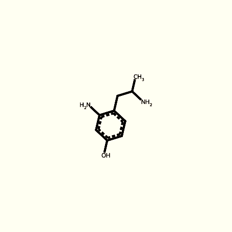 CC(N)Cc1ccc(O)cc1N